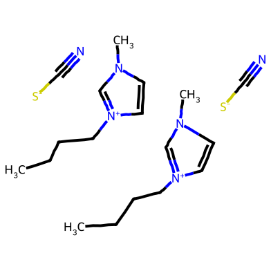 CCCC[n+]1ccn(C)c1.CCCC[n+]1ccn(C)c1.N#C[S-].N#C[S-]